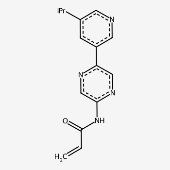 C=CC(=O)Nc1cnc(-c2cncc(C(C)C)c2)cn1